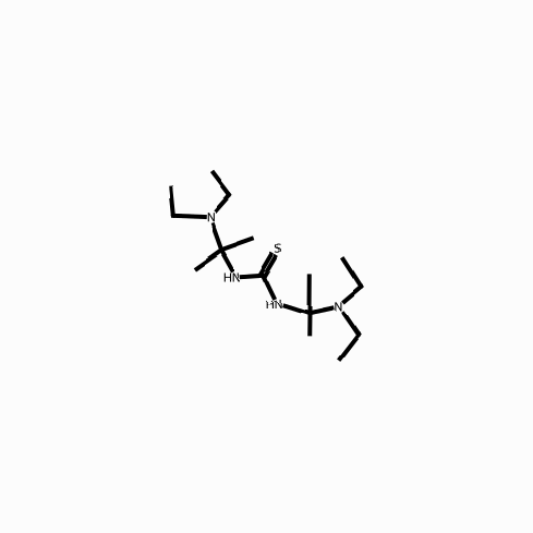 CCN(CC)C(C)(C)NC(=S)NC(C)(C)N(CC)CC